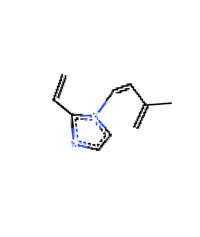 C=Cc1nccn1/C=C\C(=C)C